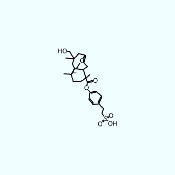 CC1(CO)C/C2=C/CC3C(C1)C(C)(CC2)CCC3(C)C(=O)Oc1ccc(CCS(=O)(=O)O)cc1